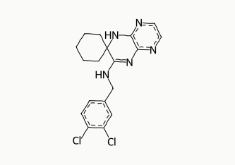 Clc1ccc(CNC2=Nc3nccnc3NC23CCCCC3)cc1Cl